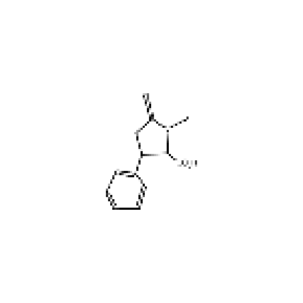 CN1C(=O)CC(c2ccccc2)C1C(=O)O